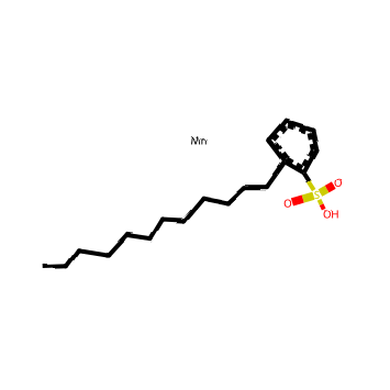 CCCCCCCCCCCCc1ccccc1S(=O)(=O)O.[Mn]